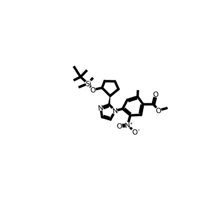 COC(=O)c1cc([N+](=O)[O-])c(-n2ccnc2[C@@H]2CCCC2O[Si](C)(C)C(C)(C)C)cc1C